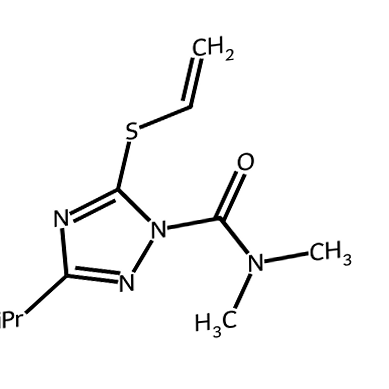 C=CSc1nc(C(C)C)nn1C(=O)N(C)C